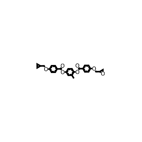 Cc1cc(OC(=O)c2ccc(OCC3CC3)cc2)ccc1OC(=O)c1ccc(OCC2CO2)cc1